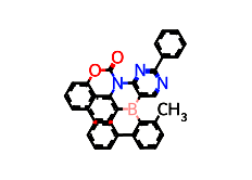 Cc1cccc(-c2ccccc2)c1B1c2cnc(-c3ccccc3)nc2N2C(=O)Oc3cccc4ccc1c2c34